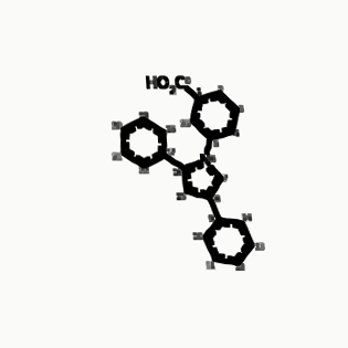 O=C(O)c1cccc(-n2cc(-c3ccccc3)cc2-c2ccccc2)c1